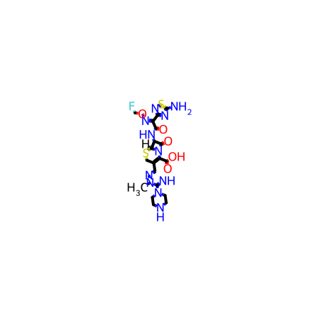 CN(N=CC1=C(C(=O)O)N2C(=O)C(NC(=O)C(=NOCF)c3nsc(N)n3)[C@@H]2SC1)C(=N)N1CCNCC1